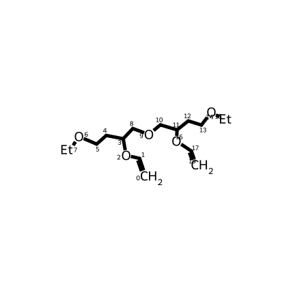 C=COC(CCOCC)COCC(CCOCC)OC=C